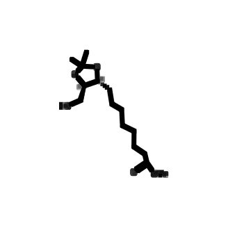 COC(=O)CCCCCCC[C@H]1OC(C)(C)O[C@@H]1CO